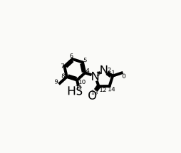 CC1=NN(c2cccc(C)c2S)C(=O)C1